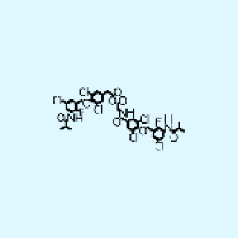 CC(C)C(=O)Nc1cc(Cl)cc(COc2c(Cl)cc(CC(=O)OC(=O)CNC(=O)c3cc(Cl)c(OCc4cc(Cl)cc(NC(=O)C(C)C)c4F)c(Cl)c3)cc2Cl)c1F